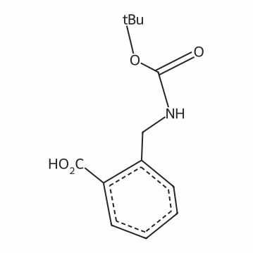 CC(C)(C)OC(=O)NCc1ccccc1C(=O)O